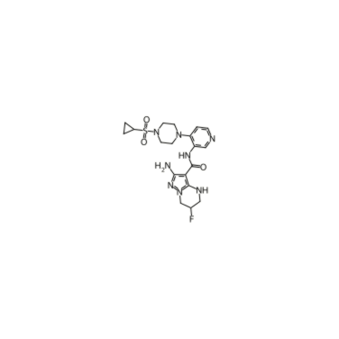 Nc1nn2c(c1C(=O)Nc1cnccc1N1CCN(S(=O)(=O)C3CC3)CC1)NCC(F)C2